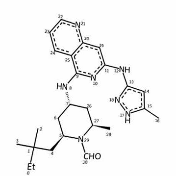 CCC(C)(C)C[C@H]1C[C@H](Nc2nc(Nc3cc(C)[nH]n3)cc3ncccc23)C[C@@H](C)N1C=O